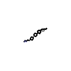 C=CCOCc1ccc(C2CCC([C@H]3CC[C@H](CC/C=C/C)CC3)CC2)cc1